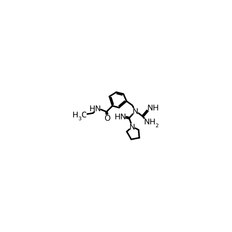 CCNC(=O)c1cccc(CN(C(=N)N)C(=N)N2CCCC2)c1